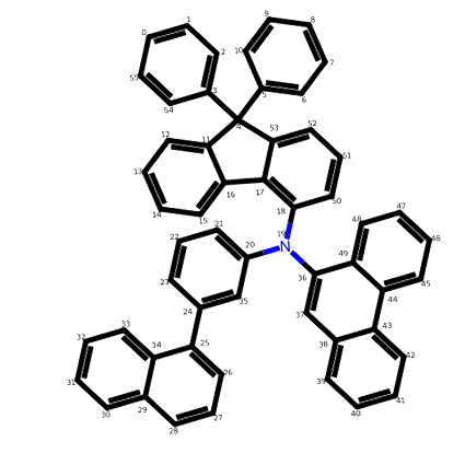 c1ccc(C2(c3ccccc3)c3ccccc3-c3c(N(c4cccc(-c5cccc6ccccc56)c4)c4cc5ccccc5c5ccccc45)cccc32)cc1